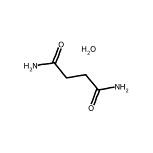 NC(=O)CCC(N)=O.O